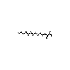 C=C(C)C(=O)OCCOCC=CC=CCCC